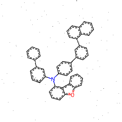 c1ccc(-c2cccc(N(c3ccc(-c4cccc(-c5cccc6ccccc56)c4)cc3)c3cccc4oc5ccccc5c34)c2)cc1